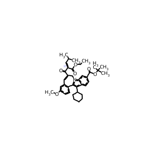 CCOC(=O)/C(=C\C(C)C)C(=O)C1=Cc2cc(OC)ccc2-c2c(C3CCCCC3)c3ccc(C(=O)OC(C)(C)C)cc3n2C1